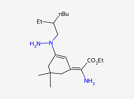 CCCCC(CC)CN(N)C1=C/C(=C(/N)C(=O)OCC)CC(C)(C)C1